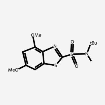 COc1cc(OC)c2nc(S(=O)(=O)N(C)C(C)(C)C)sc2c1